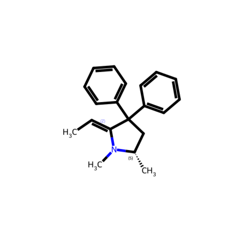 C/C=C1\N(C)[C@@H](C)CC1(c1ccccc1)c1ccccc1